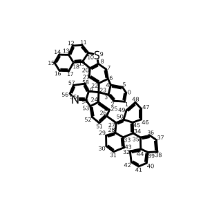 c1ccc2c(c1)-c1cc3sc4ccc5ccccc5c4c3cc1C21c2cc(-c3c4ccccc4c(-c4cccc5ccccc45)c4ccccc34)ccc2-c2ncccc21